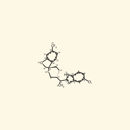 C[C@H](c1nc2cc(Cl)ccc2[nH]1)[C@H]1CC[C@@]2(CC1)COc1cc(C(F)(F)F)ccc12